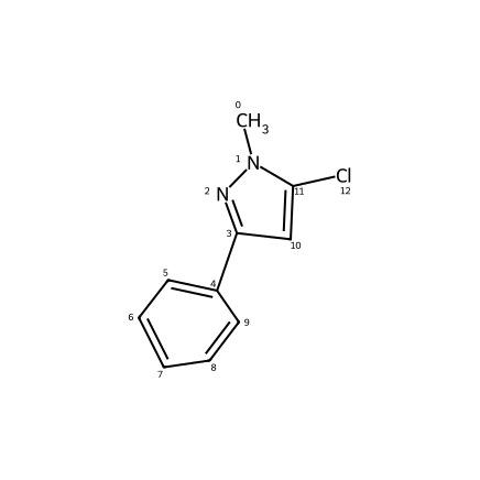 Cn1nc(-c2ccccc2)cc1Cl